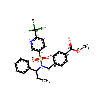 CCC(c1ccccc1)N(Cc1ccc(C(=O)OC)cc1)S(=O)(=O)c1ccc(C(F)(F)F)nc1